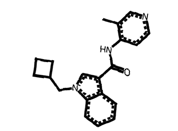 Cc1cnccc1NC(=O)c1cn(CC2CCC2)c2ccccc12